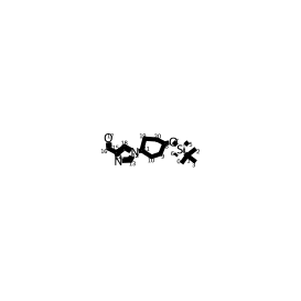 CC(C)(C)[Si](C)(C)OC1CCC(n2cnc(C=O)c2)CC1